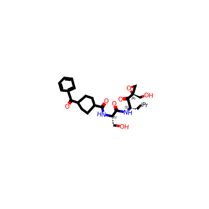 CC(C)C[C@H](NC(=O)[C@H](CO)NC(=O)C1CCC(C(=O)c2ccccc2)CC1)C(=O)[C@@]1(CO)CO1